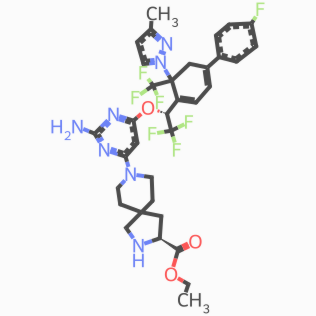 CCOC(=O)[C@@H]1CC2(CCN(c3cc(O[C@H](C4=CC=C(c5ccc(F)cc5)CC4(n4ccc(C)n4)C(F)(F)F)C(F)(F)F)nc(N)n3)CC2)CN1